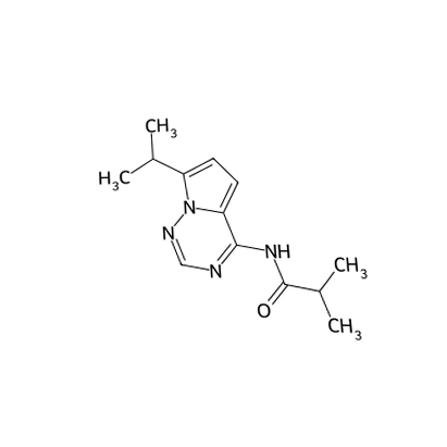 CC(C)C(=O)Nc1ncnn2c(C(C)C)ccc12